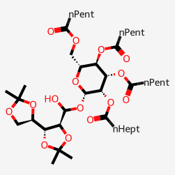 CCCCCCCC(=O)O[C@@H]1[C@H](OC(O)[C@H]2OC(C)(C)O[C@@H]2[C@H]2COC(C)(C)O2)O[C@H](COC(=O)CCCCC)[C@@H](OC(=O)CCCCC)[C@@H]1OC(=O)CCCCC